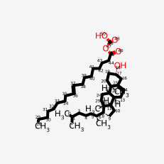 CC(C)CCC[C@@H](C)[C@H]1CC[C@H]2[C@@H]3CC=C4C[C@@H](O)CC[C@]4(C)[C@H]3CC[C@]12C.CCCCCCCCC=CCCCCCCCC(=O)OC(=O)O